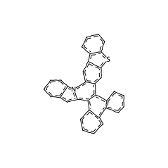 c1ccc2c(c1)cc1c3c4ccccc4c4ccccc4c3c3cc4sc5ccccc5c4cc3n21